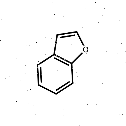 [c]1cccc2ccoc12